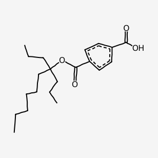 CCCCCCC(CCC)(CCC)OC(=O)c1ccc(C(=O)O)cc1